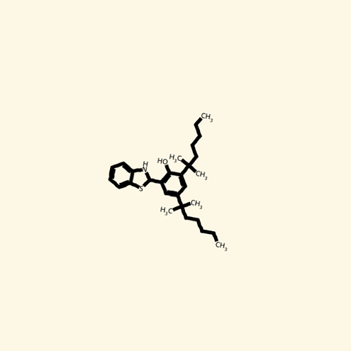 CCCCCC(C)(C)c1cc(C2Nc3ccccc3S2)c(O)c(C(C)(C)CCCCC)c1